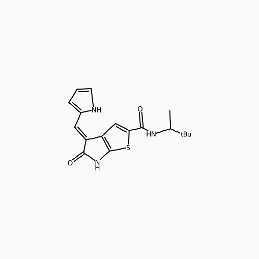 CC(NC(=O)c1cc2c(s1)NC(=O)C2=Cc1ccc[nH]1)C(C)(C)C